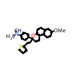 COc1ccc2c3c(ccc2c1)OC(C=Cc1cccs1)(c1ccc(N(C)C)cc1)C=C3